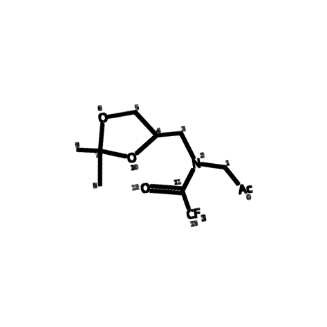 CC(=O)CN(CC1COC(C)(C)O1)C(=O)C(F)(F)F